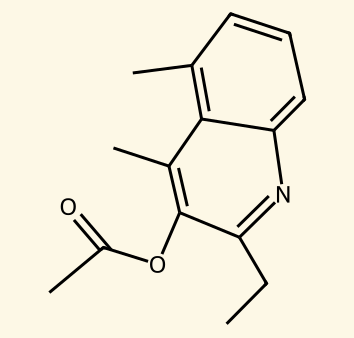 CCc1nc2cccc(C)c2c(C)c1OC(C)=O